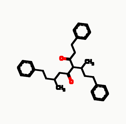 CC(CCc1ccccc1)CC(=O)C(C(=O)CCc1ccccc1)C(C)CCc1ccccc1